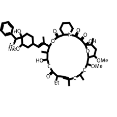 CCC1/C=C(\C)CC(C)CC(OC)C2OC(O)(C(=O)C(=O)N3CCCCC3C(=O)OC(C(C)=CC3CCC(O)(C(C(C)=O)c4ccccc4)C(OC)C3)C(C)C(O)CC1=O)C(C)CC2OC